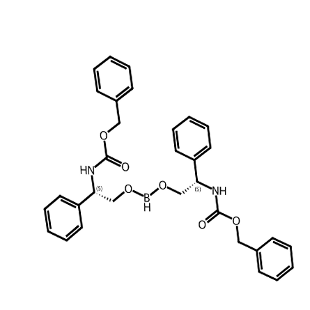 O=C(N[C@H](COBOC[C@@H](NC(=O)OCc1ccccc1)c1ccccc1)c1ccccc1)OCc1ccccc1